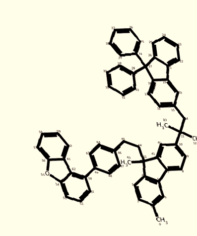 Cc1ccc2c(c1)-c1ccc(C(C)(C)Cc3ccc4c(c3)-c3ccccc3C4(c3ccccc3)c3ccccc3)cc1C2(C)CCc1ccc(-c2cccc3oc4ccccc4c23)cc1